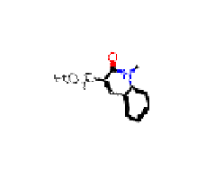 CCOC(=O)c1cc2ccccc2n(C)c1=O